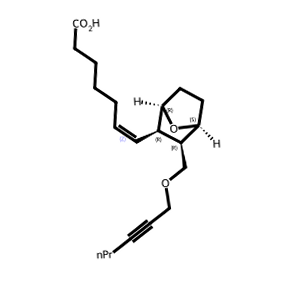 CCCC#CCOC[C@H]1[C@@H](/C=C\CCCCC(=O)O)[C@H]2CC[C@@H]1O2